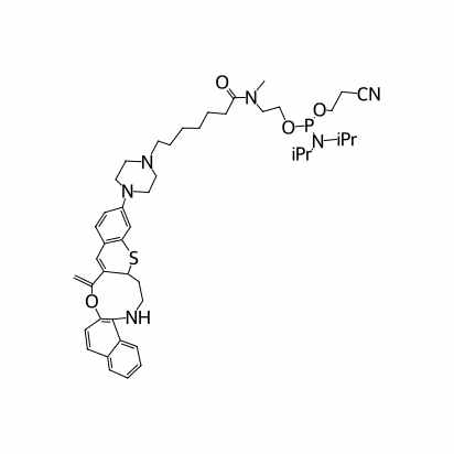 C=C1Oc2ccc3ccccc3c2NCCC2Sc3cc(N4CCN(CCCCCCC(=O)N(C)CCOP(OCCC#N)N(C(C)C)C(C)C)CC4)ccc3C=C12